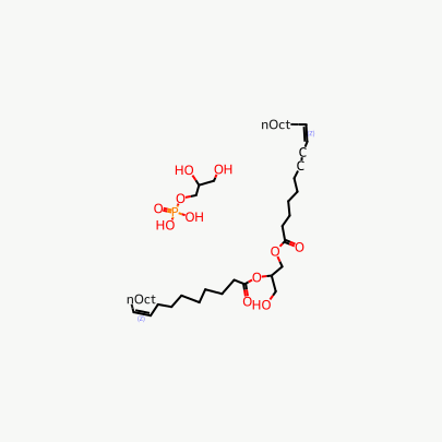 CCCCCCCC/C=C\CCCCCCCC(=O)OCC(CO)OC(=O)CCCCCCC/C=C\CCCCCCCC.O=P(O)(O)OCC(O)CO